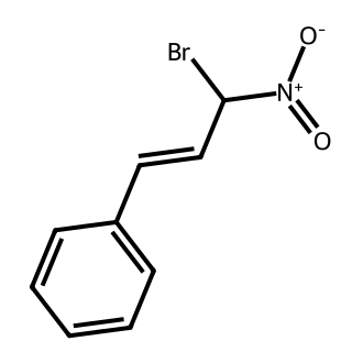 O=[N+]([O-])C(Br)/C=C/c1ccccc1